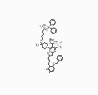 Cc1nc2cc(C=CCc3c(OCc4ccccc4)ccc(F)c3F)nn2c(N2CCC(C)(OCCCC[C@@H](C)O[Si](c3ccccc3)(c3ccccc3)C(C)(C)C)CC2)c1C(OC(C)(C)C)C(=O)O